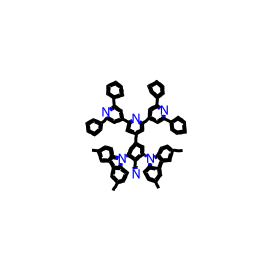 Cc1ccc2c(c1)c1cc(C)ccc1n2-c1cc(-c2cc(-c3cc(-c4ccccc4)nc(-c4ccccc4)c3)nc(-c3cc(-c4ccccc4)nc(-c4ccccc4)c3)c2)cc(-n2c3ccc(C)cc3c3cc(C)ccc32)c1C#N